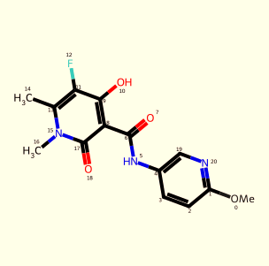 COc1ccc(NC(=O)c2c(O)c(F)c(C)n(C)c2=O)cn1